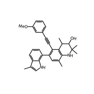 COc1cccc(C#Cc2c(-c3cccc4c(C)c[nH]c34)cc(C)c3c2C(C)C(O)C(C)(C)N3)c1